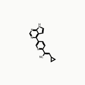 N#CC(=CC1CC1)c1ccc(-c2ncnc3[nH]ccc23)cn1